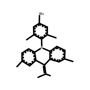 CC(C)=C1c2cc(C)ccc2N(c2c(C)cc(C(C)(C)C)cc2C)c2ccc(C)cc21